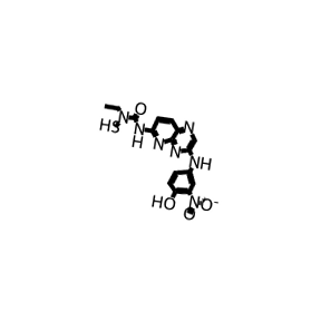 CCN(S)C(=O)Nc1ccc2ncc(Nc3ccc(O)c([N+](=O)[O-])c3)nc2n1